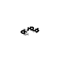 Cc1cccc(OC2CCCC(C(C)CNCc3ccccc3O)C2)c1